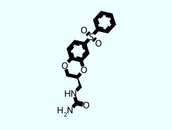 NC(=O)NC[C@H]1COc2ccc(S(=O)(=O)c3ccccc3)cc2O1